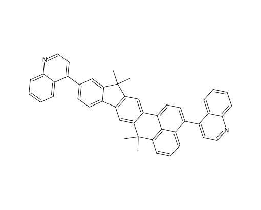 CC1(C)c2cc(-c3ccnc4ccccc34)ccc2-c2cc3c(cc21)-c1ccc(-c2ccnc4ccccc24)c2cccc(c12)C3(C)C